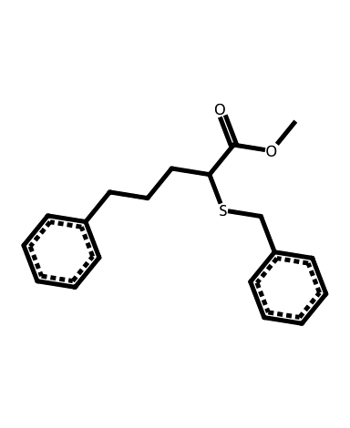 COC(=O)C(CCCc1ccccc1)SCc1ccccc1